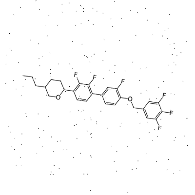 CCCC1CCC(c2ccc(-c3ccc(OCc4cc(F)c(F)c(F)c4)c(F)c3)c(F)c2F)OC1